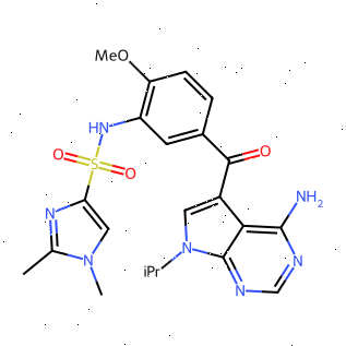 COc1ccc(C(=O)c2cn(C(C)C)c3ncnc(N)c23)cc1NS(=O)(=O)c1cn(C)c(C)n1